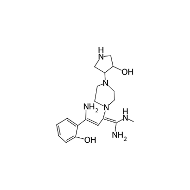 CN/C(N)=C(/C=C(\N)c1ccccc1O)N1CCN(C2CNCC2O)CC1